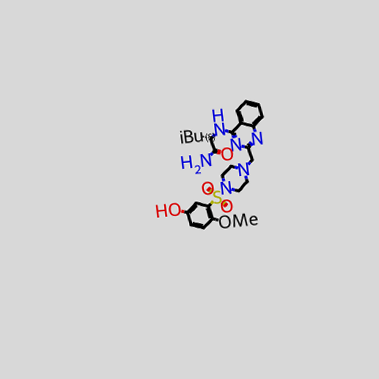 CCC(C)[C@H](Nc1nc(CN2CCN(S(=O)(=O)c3cc(O)ccc3OC)CC2)nc2ccccc12)C(N)=O